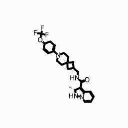 C[C@H]1NN2C=CC=CC2=C1C(=O)NCC1CC2(CCN(C3=CCC(OC(F)(F)F)C=C3)CC2)C1